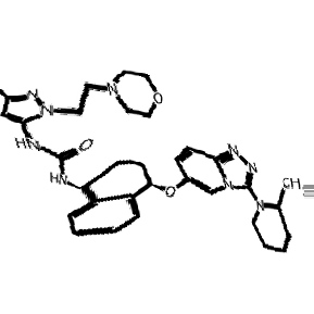 CC1CCCCN1c1nnc2ccc(O[C@@H]3CC[C@H](NC(=O)Nc4cc(C(C)(C)C)nn4CCN4CCOCC4)c4ccccc43)cn12